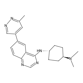 Cc1cc(-c2ccc3ncnc(N[C@H]4CC[C@H](N(C)C)CC4)c3c2)cnn1